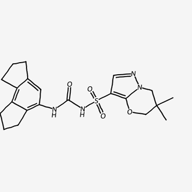 CC1(C)COc2c(S(=O)(=O)NC(=O)Nc3cc4c(c5c3CCC5)CCC4)cnn2C1